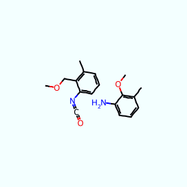 COCc1c(C)cccc1N=C=O.COc1c(C)cccc1N